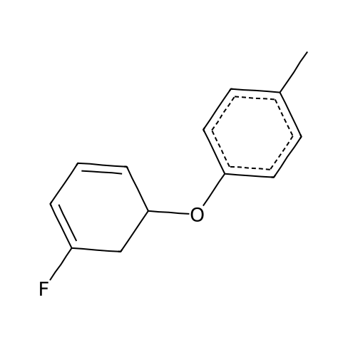 Cc1ccc(OC2C=CC=C(F)C2)cc1